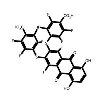 O=C(O)c1c(F)c(F)c(Sc2c(F)c3c(c(F)c2Sc2c(F)c(F)c(C(=O)O)c(F)c2F)C(=O)c2c(O)ccc(O)c2C3=O)c(F)c1F